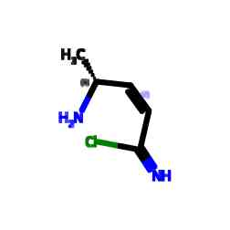 C[C@@H](N)/C=C\C(=N)Cl